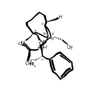 C[C@@H](c1ccccc1)N1[C@@H]2CC[C@@H]([C@H]2NC(=O)O)[C@@H]1CO